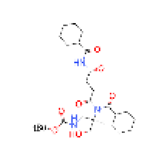 CC(C)(C)OC(=O)NC[C@](C)(CO)N(C(=O)CCC(=O)NC(=O)C1CCCCC1)C(=O)C1CCCCC1